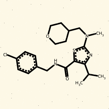 CC(C)c1nc(N(C)CC2CCOCC2)sc1C(=O)NCc1ccc(Cl)cc1